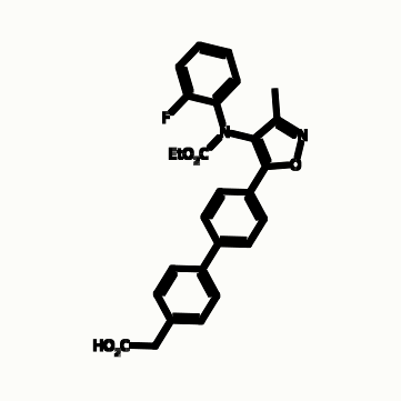 CCOC(=O)N(c1ccccc1F)c1c(C)noc1-c1ccc(-c2ccc(CC(=O)O)cc2)cc1